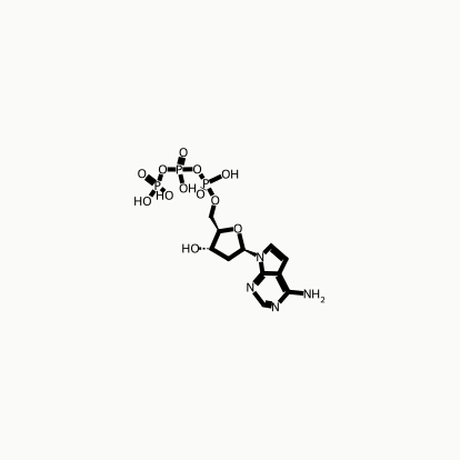 Nc1ncnc2c1ccn2[C@H]1C[C@H](O)[C@@H](COP(=O)(O)OP(=O)(O)OP(=O)(O)O)O1